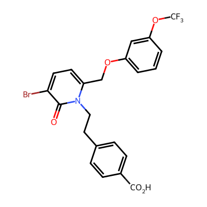 O=C(O)c1ccc(CCn2c(COc3cccc(OC(F)(F)F)c3)ccc(Br)c2=O)cc1